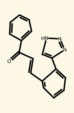 O=C(C=Cc1ccccc1-c1c[nH]nn1)c1ccccc1